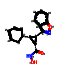 O=C(NO)[C@H]1[C@H](c2noc3ccccc23)[C@H]1C1C=CC=CC1